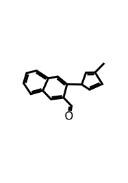 CC1=CC(c2cc3ccccc3cc2C=O)C=C1